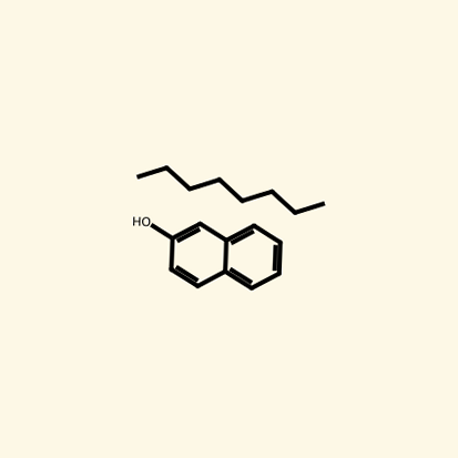 CCCCCCCC.Oc1ccc2ccccc2c1